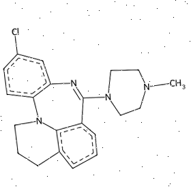 CN1CCN(C2=Nc3cc(Cl)ccc3N3CCCc4cccc2c43)CC1